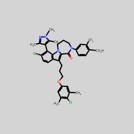 Cc1cc(OCCCc2c3n(c4c(-c5c(C)nn(C)c5C)c(Cl)ccc24)CCCN(c2ccc(C(=O)O)c(C(F)(F)F)c2)C3=O)cc(C)c1Cl